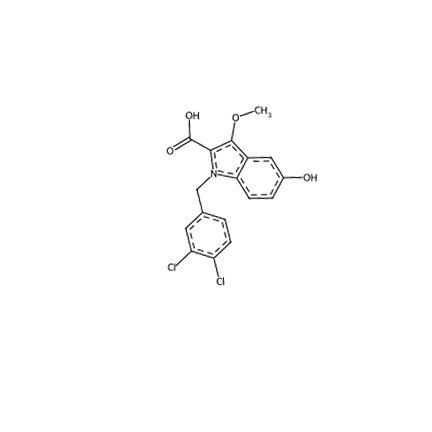 COc1c(C(=O)O)n(Cc2ccc(Cl)c(Cl)c2)c2ccc(O)cc12